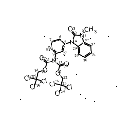 Cn1c(=O)n(-c2ccnc(N(C(=O)OCC(Cl)(Cl)Cl)C(=O)OCC(Cl)(Cl)Cl)c2)c2ccccc21